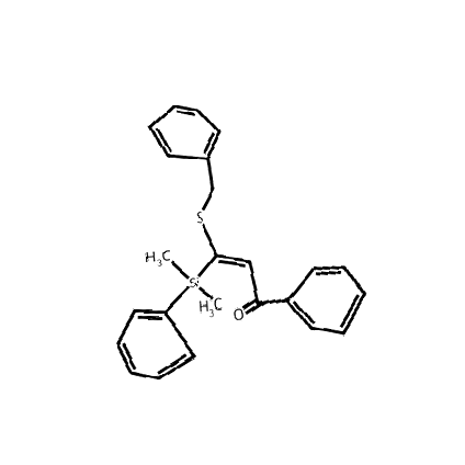 C[Si](C)(/C(=C\C(=O)c1ccccc1)SCc1ccccc1)c1ccccc1